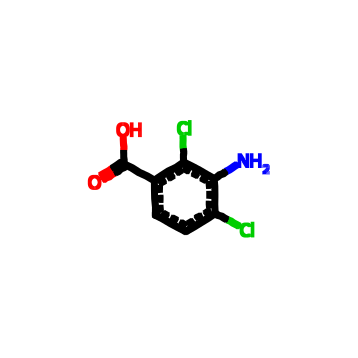 Nc1c(Cl)ccc(C(=O)O)c1Cl